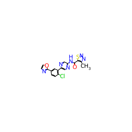 Cc1nnsc1C(=O)Nc1cnc(-c2cc(-c3ncco3)ccc2Cl)cn1